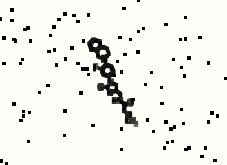 COCC(=O)NCC1CN(c2ccc(N3CCc4ccccc4C3)c(F)c2)C(=O)O1